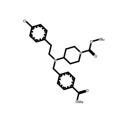 COC(=O)c1ccc(CN(CCc2ccc(Cl)cc2)C2CCN(C(=O)OC(C)(C)C)CC2)cc1